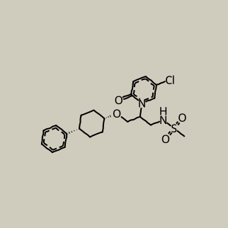 CS(=O)(=O)NCC(CO[C@H]1CC[C@@H](c2ccccc2)CC1)n1cc(Cl)ccc1=O